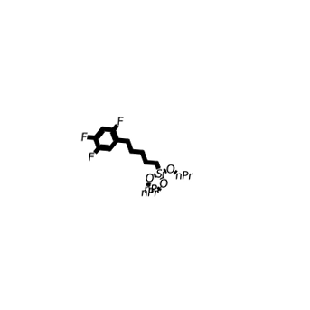 CCCO[Si](CCCCCc1cc(F)c(F)cc1F)(OCCC)OCCC